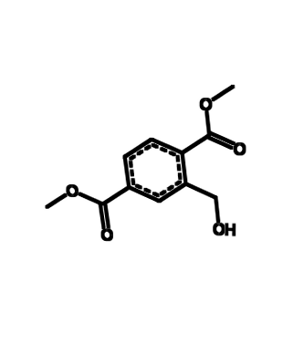 COC(=O)c1ccc(C(=O)OC)c(CO)c1